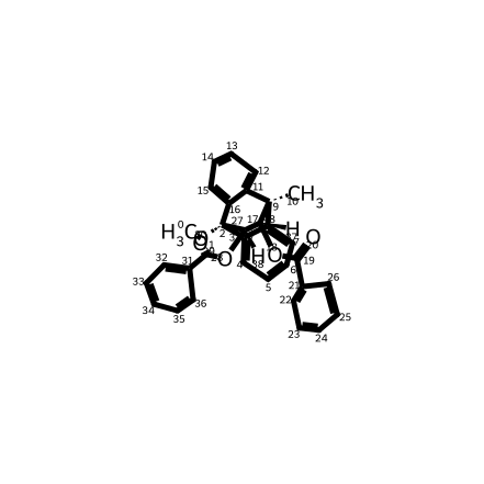 CO[C@]12c3ccccc3[C@](C)(c3ccccc31)[C@H](OC(=O)c1ccccc1)[C@@H]2OC(=O)c1ccccc1